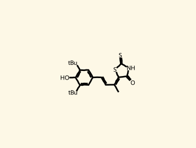 CC(C=Cc1cc(C(C)(C)C)c(O)c(C(C)(C)C)c1)=C1SC(=S)NC1=O